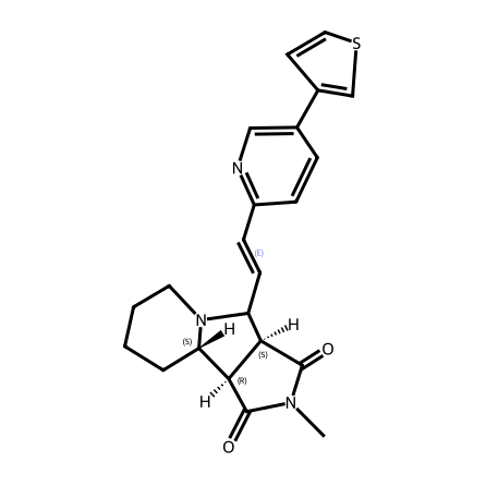 CN1C(=O)[C@@H]2[C@H](C1=O)C(/C=C/c1ccc(-c3ccsc3)cn1)N1CCCC[C@@H]21